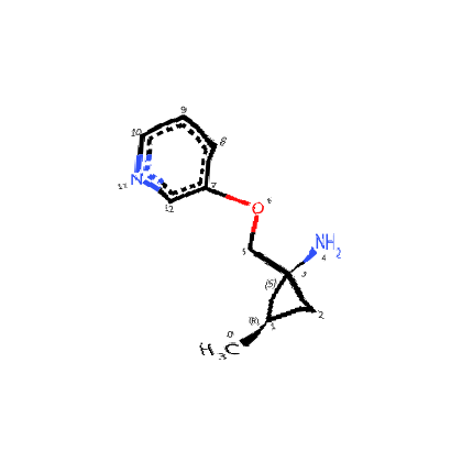 C[C@@H]1C[C@@]1(N)COc1cccnc1